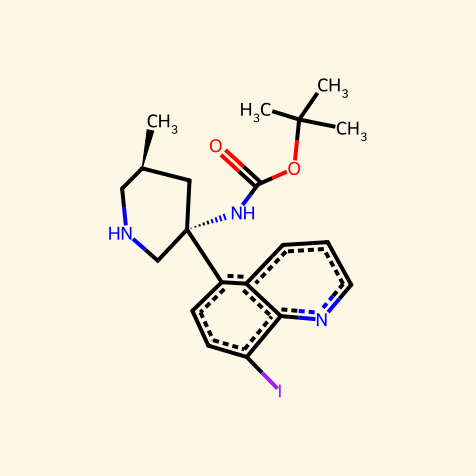 C[C@@H]1CNC[C@](NC(=O)OC(C)(C)C)(c2ccc(I)c3ncccc23)C1